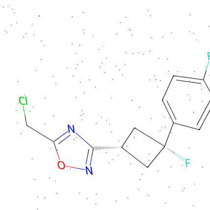 Fc1ccc([C@]2(F)C[C@@H](c3noc(CCl)n3)C2)cc1